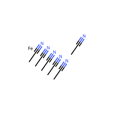 CC#N.CC#N.CC#N.CC#N.CC#N.CC#N.[Fe]